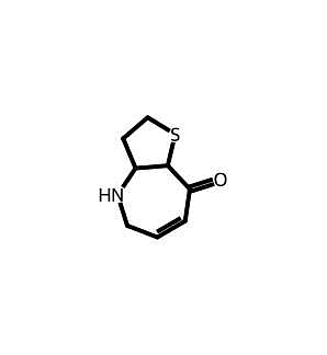 O=C1C=CCNC2CCSC12